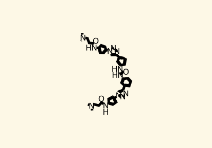 CN(C)CCC(=O)Nc1ccc(-n2cc(-c3cccc(NC(=O)Nc4cccc(-c5cn(-c6ccc(NC(=O)CCN(C)C)cc6)nn5)c4)c3)nn2)cc1